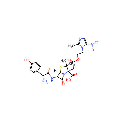 Cc1ncc([N+](=O)[O-])n1CCOC(=O)C[C@@]1(C(=O)O)N2C(=O)[C@@H](NC(=O)[C@H](N)c3ccc(O)cc3)[C@H]2SC1(C)C